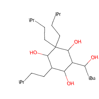 CCC(C)C(O)C1C(O)C(CCC(C)C)C(O)C(CCC(C)C)(CCC(C)C)C1O